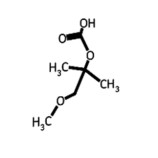 COCC(C)(C)OC(=O)O